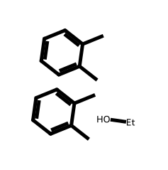 CCO.Cc1ccccc1C.Cc1ccccc1C